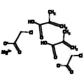 C=C(C)C(=O)O.C=C(C)C(=O)O.O=C([O-])CCl.O=C([O-])CCl.[Mg+2]